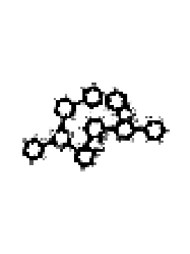 c1ccc(-c2cccc(-c3nc(-c4ccccc4)nc(-c4cccc5sc6c(-c7ccc(-c8ccccc8)c8oc9ccccc9c78)cccc6c45)n3)c2)cc1